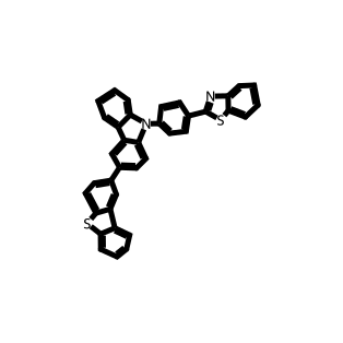 c1ccc2sc(-c3ccc(-n4c5ccccc5c5cc(-c6ccc7sc8ccccc8c7c6)ccc54)cc3)nc2c1